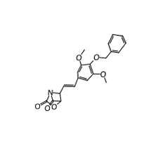 COc1cc(C=CC2C3OC(=O)N2C3=O)cc(OC)c1OCc1ccccc1